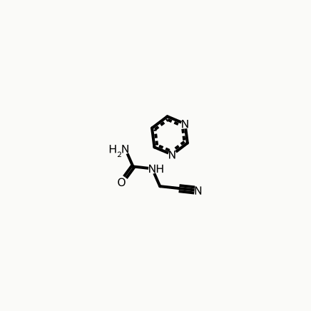 N#CCNC(N)=O.c1cncnc1